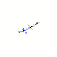 CC(C)CSCCC(=O)NCCNC(=O)CC(C)C